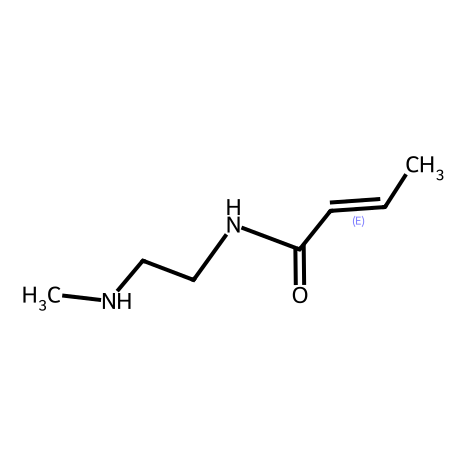 C/C=C/C(=O)NCCNC